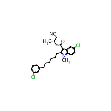 C[C@H](CC#N)CC(=O)c1c(CCCCCCc2cccc(Cl)c2)n(C)c2ccc(Cl)cc12